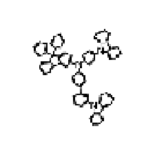 c1ccc(C2(c3ccccc3)c3ccccc3-c3cc(N(c4ccc(-c5cccc(-n6c7ccccc7c7ccccc76)c5)cc4)c4ccc(-n5c6ccccc6c6ccccc65)cc4)ccc32)cc1